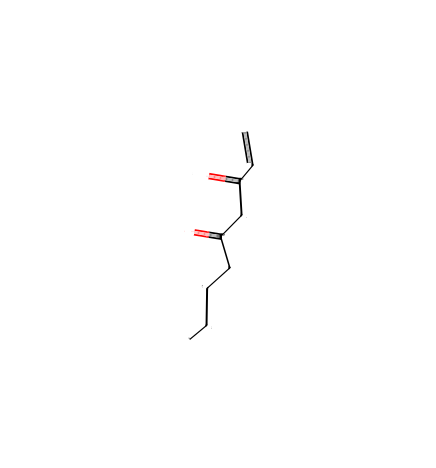 C=CC(=O)CC(=O)CCCC